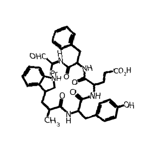 CC(CC1CNc2ccccc21)C(=O)NC(Cc1ccc(O)cc1)C(=O)NC(CCC(=O)O)C(=O)NC(Cc1ccccc1)C(=O)NC(C=O)C(C)C